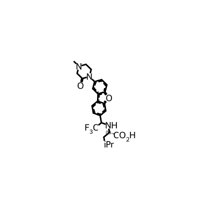 CC(C)C[C@H](NC(c1ccc2c(c1)oc1ccc(N3CCN(C)CC3=O)cc12)C(F)(F)F)C(=O)O